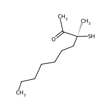 CCCCCCC[C@](C)(S)C(C)=O